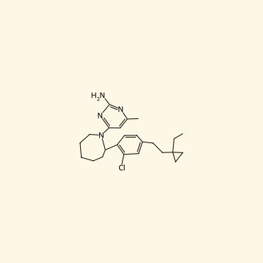 CCC1(CCc2ccc(C3CCCCCN3c3cc(C)nc(N)n3)c(Cl)c2)CC1